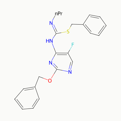 CCC/N=C(/Nc1nc(OCc2ccccc2)ncc1F)SCc1ccccc1